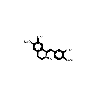 COc1ccc(/C=C2/c3cc(OC(C)=O)c(OC)cc3CCN2C(C)=O)cc1OC(C)=O